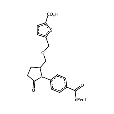 CCCCCC(=O)c1ccc(N2C(=O)CCC2COCc2ccc(C(=O)O)s2)cc1